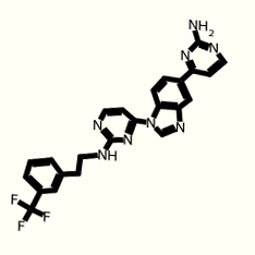 Nc1nccc(-c2ccc3c(c2)ncn3-c2ccnc(NCCc3cccc(C(F)(F)F)c3)n2)n1